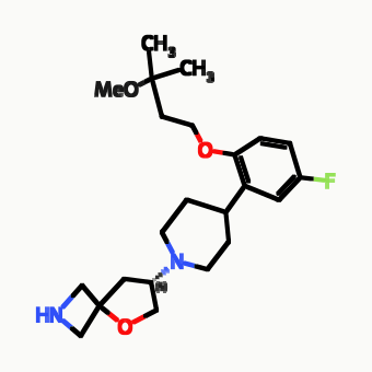 COC(C)(C)CCOc1ccc(F)cc1C1CCN([C@@H]2COC3(CNC3)C2)CC1